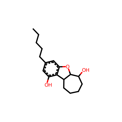 CCCCCc1cc(O)c2c(c1)OC1C(O)CCCCC21